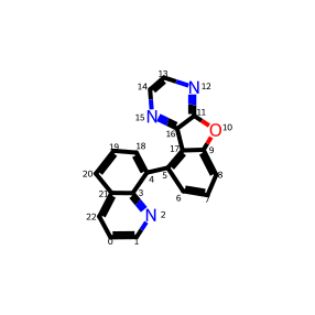 c1cnc2c(-c3cccc4oc5nccnc5c34)cccc2c1